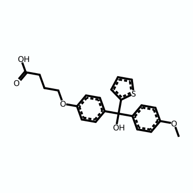 COc1ccc(C(O)(c2ccc(OCCCC(=O)O)cc2)c2cccs2)cc1